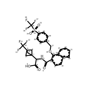 O=C(NC(C(=O)O)C12CC(C(F)(F)F)(C1)C2)c1ccc2ccccc2c1OCc1ccc(S(=O)(=O)C(F)(F)F)cc1